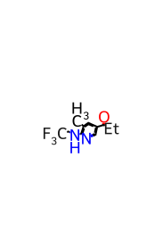 CCC(=O)c1cnc(NCC(F)(F)F)c(C)c1